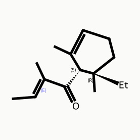 C/C=C(\C)C(=O)[C@@H]1C(C)=CCC[C@@]1(C)CC